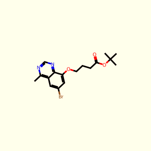 Cc1ncnc2c(OCCCC(=O)OC(C)(C)C)cc(Br)cc12